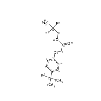 CCC(C)(C)c1ccc(OCC(=O)OCC(C)(F)F)cc1